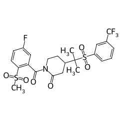 CC(C)(C1CCN(C(=O)c2cc(F)ccc2S(C)(=O)=O)C(=O)C1)S(=O)(=O)c1cccc(C(F)(F)F)c1